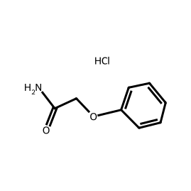 Cl.NC(=O)COc1ccccc1